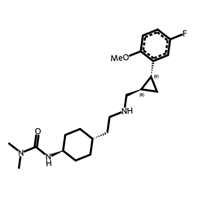 COc1ccc(F)cc1[C@@H]1C[C@H]1CNCC[C@H]1CC[C@H](NC(=O)N(C)C)CC1